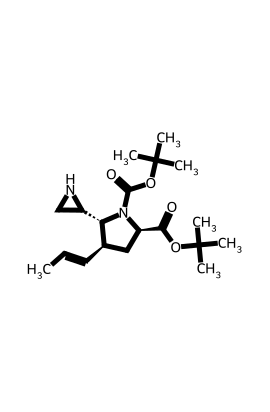 CC=C[C@@H]1C[C@H](C(=O)OC(C)(C)C)N(C(=O)OC(C)(C)C)[C@H]1C1CN1